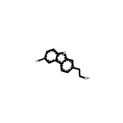 OCCc1ccc2c(c1)oc1ccc(Cl)cc12